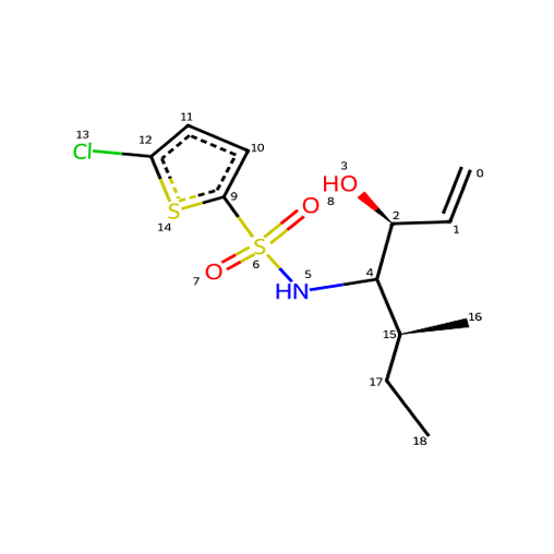 C=C[C@H](O)C(NS(=O)(=O)c1ccc(Cl)s1)[C@@H](C)CC